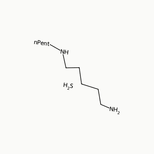 CCCCCNCCCCCN.S